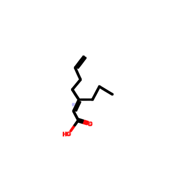 C=CCC/C(=C/C(=O)O)CCC